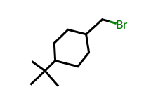 CC(C)(C)C1CCC(CBr)CC1